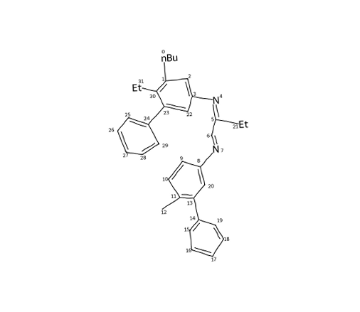 CCCCc1cc(N=C(C=Nc2ccc(C)c(-c3ccccc3)c2)CC)cc(-c2ccccc2)c1CC